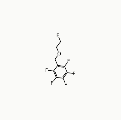 FCCOCc1c(F)c(F)c(F)c(F)c1F